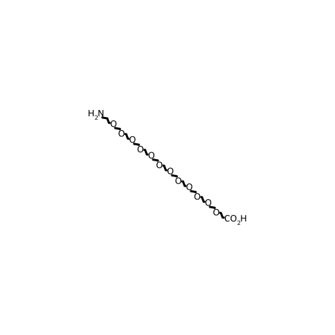 NCCCOCCOCCOCCOCCOCCOCCOCCOCCOCCOCCOCCOCCC(=O)O